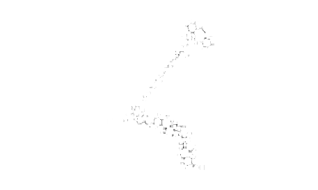 C[C@H](NC(=O)[C@H](CCC(=O)O)NC(=O)CCOCCOCCOCCOCCNC(=O)CCC(=O)N1Cc2ccccc2C#Cc2ccccc21)C(=O)Nc1ccc2c(c1)[C@@]1(C)CCC[C@](C)(C(=O)NC(=O)[C@@]3(C)CCC[C@]4(C)c5cc(O)ccc5CC[C@@H]34)[C@@H]1CC2